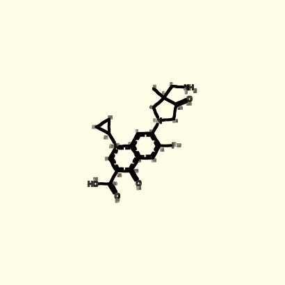 CC1(CN)CN(c2cc3c(cc2F)c(=O)c(C(=O)O)cn3C2CC2)CC1=O